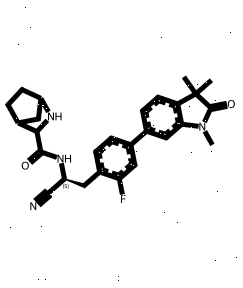 CN1C(=O)C(C)(C)c2ccc(-c3ccc(C[C@@H](C#N)NC(=O)C4NC5CCC4C5)c(F)c3)cc21